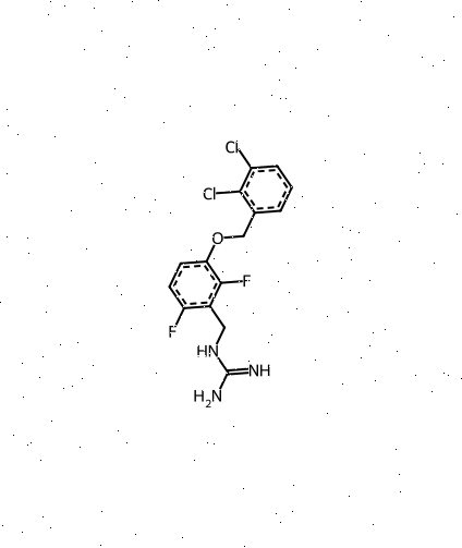 N=C(N)NCc1c(F)ccc(OCc2cccc(Cl)c2Cl)c1F